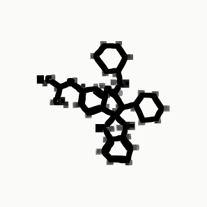 CC(C)Oc1ccc(C2(C(C(=O)NC3CCCCC3)C3CCCCC3)Nc3ccccc3N2)cc1